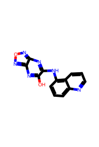 Oc1nc2nonc2nc1Nc1cccc2ncccc12